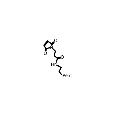 CCCC(C)CCNC(=O)CCN1C(=O)C=CC1=O